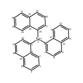 c1ccc2c([Se+](c3cccc4ccccc34)c3cccc4ccccc34)cccc2c1